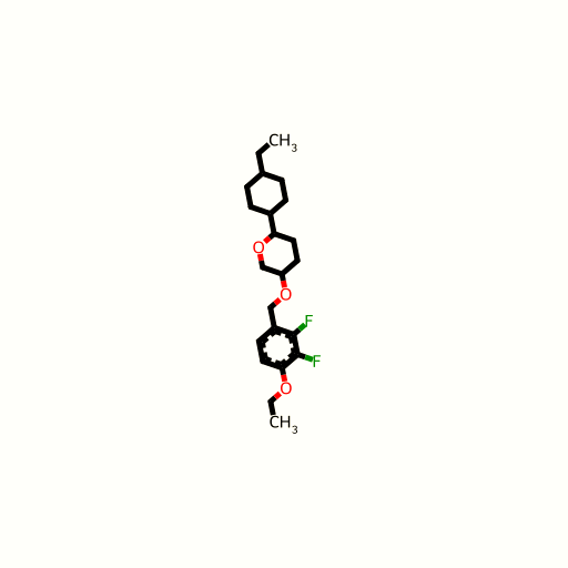 CCOc1ccc(COC2CCC(C3CCC(CC)CC3)OC2)c(F)c1F